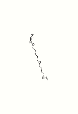 [N-]=[N+]=NOCCOCCOCCCCN